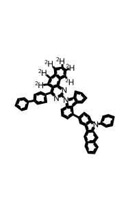 [2H]c1c([2H])c([2H])c2c(c1[2H])c([2H])c([2H])c1c(-c3ccc(-c4ccccc4)cc3)nc(-n3c4ccccc4c4c(-c5ccc6c(c5)c5cc7ccccc7cc5n6-c5ccccc5)cccc43)nc12